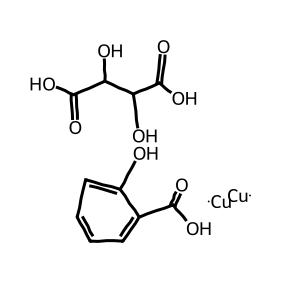 O=C(O)C(O)C(O)C(=O)O.O=C(O)c1ccccc1O.[Cu].[Cu]